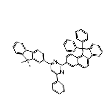 CC1(C)c2ccccc2-c2ccc(-c3cc(-c4ccccc4)nc(-c4ccc5c6c(ccc5c4)-c4ccccc4C6(c4ccccc4)c4ccccc4)n3)cc21